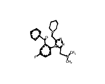 CN(C)Cc1nnc(CN2CCCCC2)n1-c1ccc(F)cc1C(=O)c1ccccc1